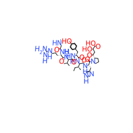 CC[C@H](C)[C@H](NC(=O)[C@H](Cc1ccc(O)cc1)NC(=O)[C@@H](NC(=O)[C@H](CCCNC(=N)N)NC(=O)CNC)C(C)C)C(=O)N[C@@H](Cc1c[nH]cn1)C(=O)N1CCC[C@H]1C(=O)CC(O)C(=O)O